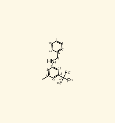 Cc1cc(NCc2ccccc2)cc(C(F)(F)F)c1